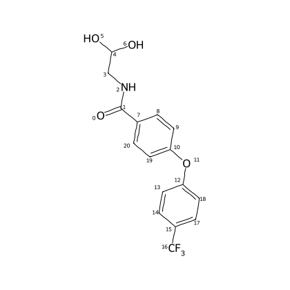 O=C(NCC(O)O)c1ccc(Oc2ccc(C(F)(F)F)cc2)cc1